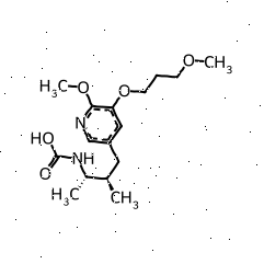 COCCCOc1cc(C[C@@H](C)[C@H](C)NC(=O)O)cnc1OC